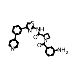 Nc1cccc(C(=O)N2CCC2C(=O)Nc2nc(-c3cccc(-c4ccncc4)c3)cs2)c1